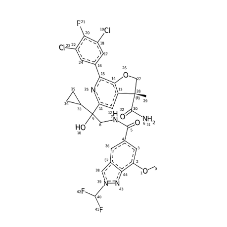 COc1cc(C(=O)NCC(O)(c2cc3c(c(-c4cc(Cl)c(F)c(Cl)c4)n2)OC[C@]3(C)C(N)=O)C2CC2)cc2cn(C(F)F)nc12